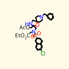 CCOC(=O)CN(CC1(COC(C)=O)NCC2(CCN(Cc3ccccc3)CC2)O1)S(=O)(=O)c1ccc2cc(Cl)ccc2c1